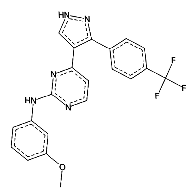 COc1cccc(Nc2nccc(-c3c[nH]nc3-c3ccc(C(F)(F)F)cc3)n2)c1